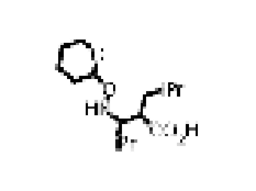 CC(C)CC(C(=O)O)C(NOC1CCCCO1)C(C)C